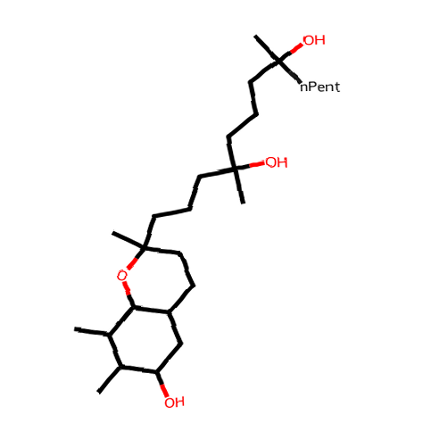 CCCCCC(C)(O)CCCC(C)(O)CCCC1(C)CCC2CC(O)C(C)C(C)C2O1